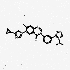 Cc1cc2ncn(-c3cccc(-c4nncn4C(C)C)c3)c(=O)c2cc1-n1cnc(C2CC2)c1